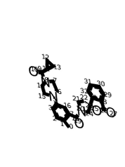 Cc1ccc(N2CCN(C(=O)C3CC3)CC2)cc1C(=O)N1CC[C@@]2(C1)OC(=O)c1ccccc12